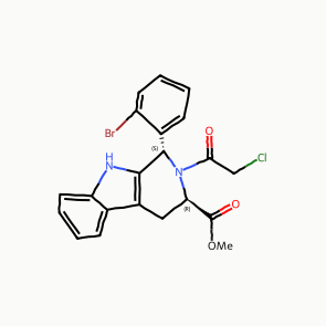 COC(=O)[C@H]1Cc2c([nH]c3ccccc23)[C@H](c2ccccc2Br)N1C(=O)CCl